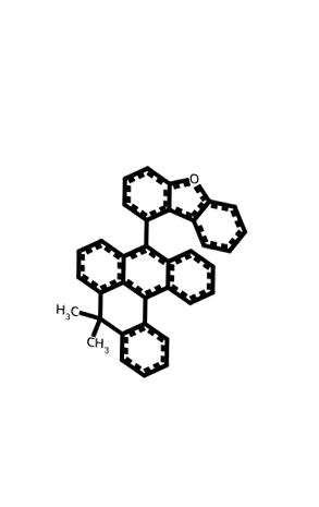 CC1(C)c2ccccc2-c2c3ccccc3c(-c3cccc4oc5ccccc5c34)c3cccc1c23